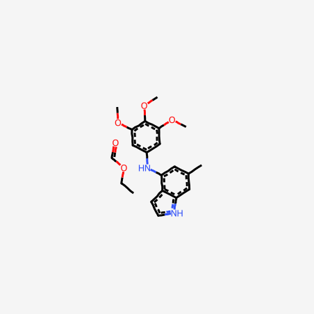 CCOC=O.COc1cc(Nc2cc(C)cc3[nH]ccc23)cc(OC)c1OC